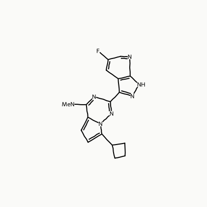 CNc1nc(-c2n[nH]c3ncc(F)cc23)nn2c(C3CCC3)ccc12